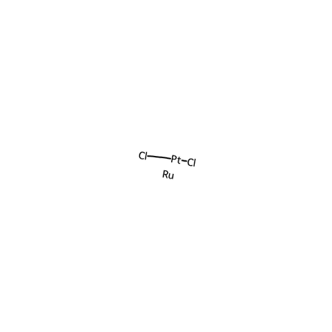 [Cl][Pt][Cl].[Ru]